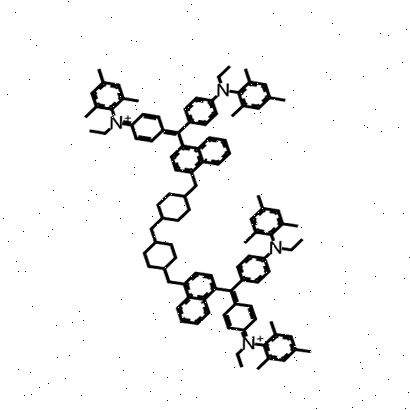 CCN(c1ccc(C(=C2C=CC(=[N+](CC)c3c(C)cc(C)cc3C)C=C2)c2ccc(CC3CCC(CC4CCC(Cc5ccc(C(=C6C=CC(=[N+](CC)c7c(C)cc(C)cc7C)C=C6)c6ccc(N(CC)c7c(C)cc(C)cc7C)cc6)c6ccccc56)CC4)CC3)c3ccccc23)cc1)c1c(C)cc(C)cc1C